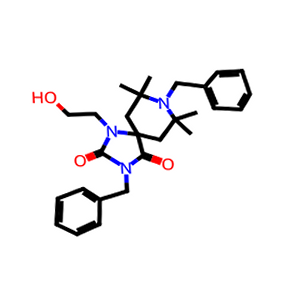 CC1(C)CC2(CC(C)(C)N1Cc1ccccc1)C(=O)N(Cc1ccccc1)C(=O)N2CCO